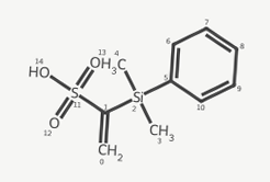 C=C([Si](C)(C)c1ccccc1)S(=O)(=O)O